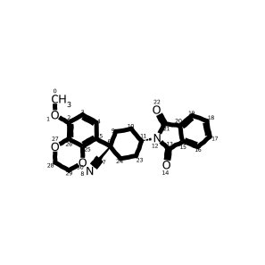 COc1ccc([C@]2(C#N)CC[C@H](N3C(=O)c4ccccc4C3=O)CC2)c2c1OCCO2